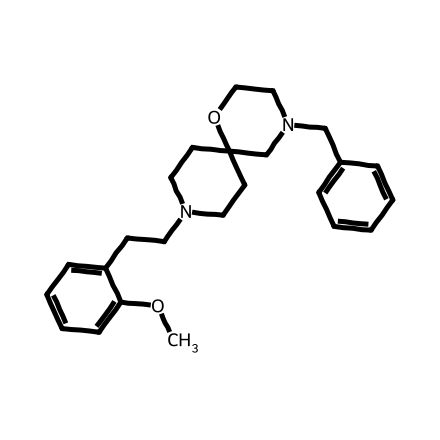 COc1ccccc1CCN1CCC2(CC1)CN(Cc1ccccc1)CCO2